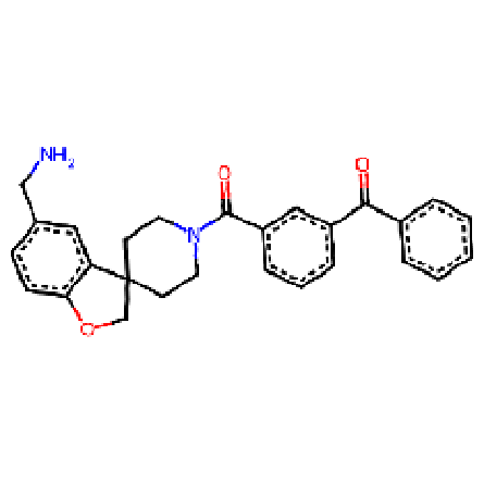 NCc1ccc2c(c1)C1(CCN(C(=O)c3cccc(C(=O)c4ccccc4)c3)CC1)CO2